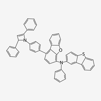 C1=C(c2ccccc2)N(c2ccc(-c3ccc(N(c4ccccc4)c4ccc5sc6ccccc6c5c4)c4oc5ccccc5c34)cc2)C1c1ccccc1